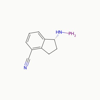 N#Cc1cccc2c1CC[C@H]2NP